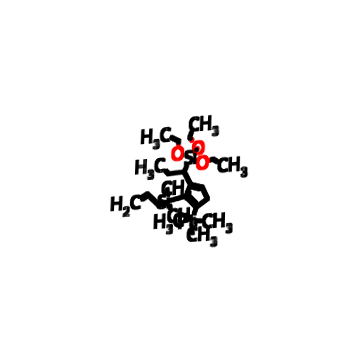 C=CC[Si](C)(C)C1=[C]([Pt]([CH3])([CH3])[CH3])CC=C1C(CC)[Si](OCC)(OCC)OCC